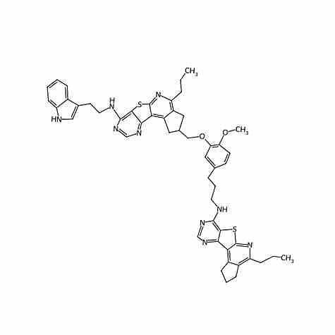 CCCc1nc2sc3c(NCCCc4ccc(OC)c(OCC5Cc6c(CCC)nc7sc8c(NCCc9c[nH]c%10ccccc9%10)ncnc8c7c6C5)c4)ncnc3c2c2c1CCC2